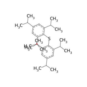 CC(C)c1cc(C(C)C)c(Sc2c(C(C)C)cc(C(C)C)cc2C(C)C)c(C(C)C)c1